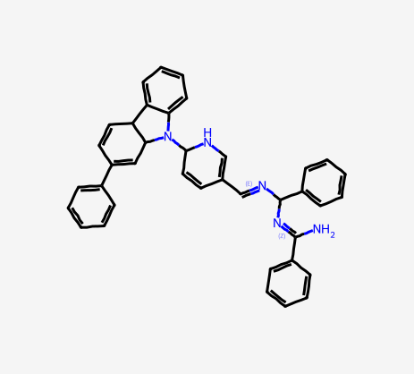 N/C(=N\C(/N=C/C1=CNC(N2c3ccccc3C3C=CC(c4ccccc4)=CC32)C=C1)c1ccccc1)c1ccccc1